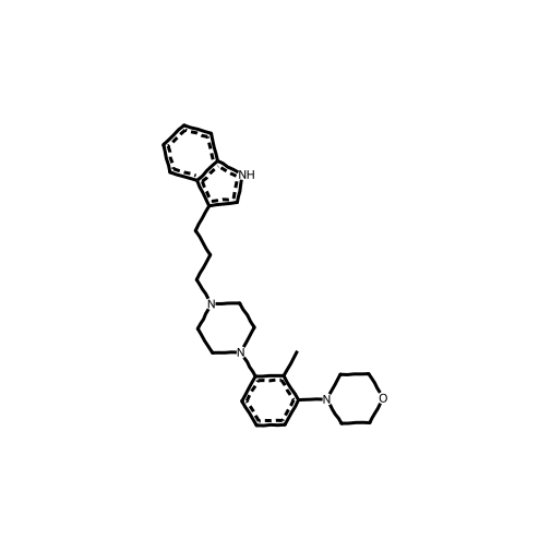 Cc1c(N2CCOCC2)cccc1N1CCN(CCCc2c[nH]c3ccccc23)CC1